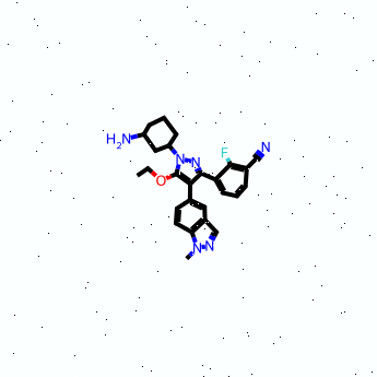 CCOc1c(-c2ccc3c(cnn3C)c2)c(-c2cccc(C#N)c2F)nn1C1CCCC(N)C1